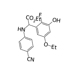 CCOC(=O)C(Nc1ccc(C#N)cc1)c1cc(OCC)cc(O)c1F